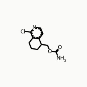 NC(=O)OCC1CCCc2c1ccnc2Cl